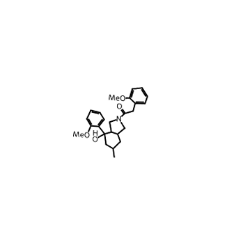 COc1ccccc1CC(=O)N1CC2CC(C)CC(O)(c3ccccc3OC)C2C1